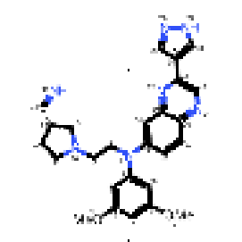 COc1cc(OC)cc(N(CCN2CC[C@H](C=N)C2)c2ccc3ncc(-c4cn[nH]c4)nc3c2)c1